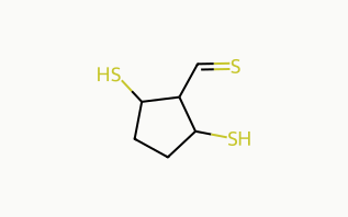 S=CC1C(S)CCC1S